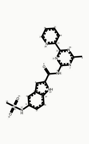 Cc1nc(NC(=O)c2cc3cc(NS(C)(=O)=O)ccc3[nH]2)nc(-c2ccccn2)n1